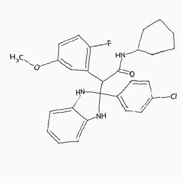 COc1ccc(F)c(C(C(=O)NC2CCCCC2)C2(c3ccc(Cl)cc3)Nc3ccccc3N2)c1